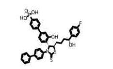 O=P(O)(O)c1ccc(-c2ccc([C@@H]3[C@@H](CCC[C@@H](O)c4ccc(F)cc4)SC(=S)N3c3ccc(-c4ccccc4)cc3)c(O)c2)cc1